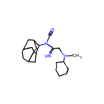 CN(CC(=N)N(C#N)C1C2CC3CC(C2)CC1C3)C1CCCCC1